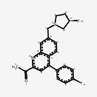 CC(=O)c1cc(-c2ccc(F)cc2)c2ccc(CN3CC[C@@H](F)C3)cc2n1